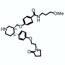 COCCCNC(=O)c1ccc(OC[C@@H]2CNCC[C@H]2c2ccc(OCCN3CCCC3=O)cc2)cc1